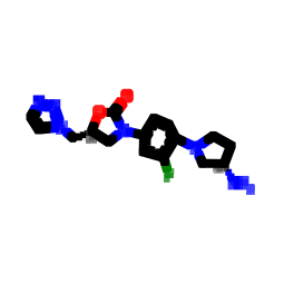 N[C@H]1CCN(c2ccc(N3C[C@H](Cn4ccnn4)OC3=O)cc2F)C1